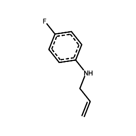 C=CCNc1ccc(F)cc1